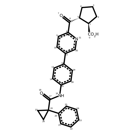 O=C(O)[C@@H]1CCC[C@H]1C(=O)c1ccc(-c2ccc(NC(=O)C3(c4ccccc4)CC3)cc2)cn1